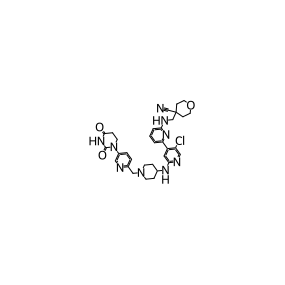 N#CC1(CNc2cccc(-c3cc(NC4CCN(Cc5ccc(N6CCC(=O)NC6=O)cn5)CC4)ncc3Cl)n2)CCOCC1